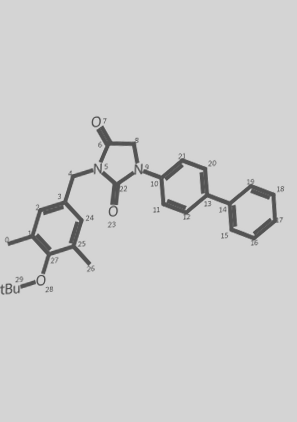 Cc1cc(CN2C(=O)CN(c3ccc(-c4ccccc4)cc3)C2=O)cc(C)c1OC(C)(C)C